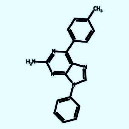 Cc1ccc(-c2nc(N)nc3c2ncn3-c2ccccc2)cc1